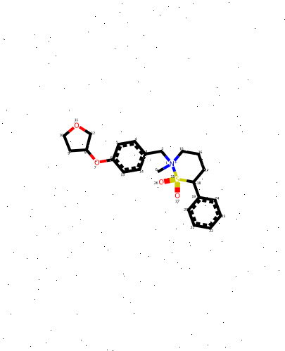 C[N+]1(Cc2ccc(OC3CCOC3)cc2)CCCC(c2ccccc2)S1(=O)=O